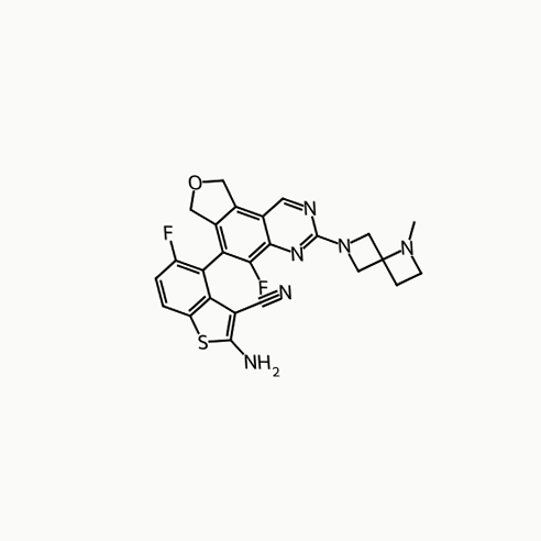 CN1CCC12CN(c1ncc3c4c(c(-c5c(F)ccc6sc(N)c(C#N)c56)c(F)c3n1)COC4)C2